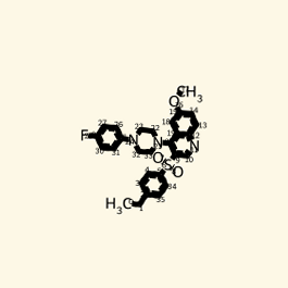 CCc1ccc(S(=O)(=O)c2cnc3ccc(OC)cc3c2N2CCN(c3ccc(F)cc3)CC2)cc1